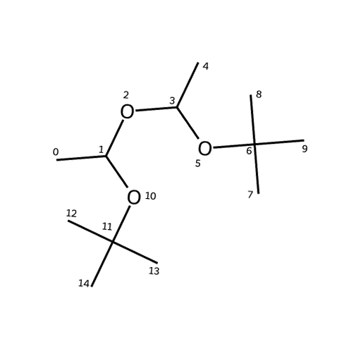 CC(OC(C)OC(C)(C)C)OC(C)(C)C